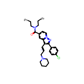 CC(C)CCN(CCC(C)C)C(=O)c1ccn2nc(-c3ccc(Cl)cc3)c(/C=C/CN3CCCCC3)c2c1